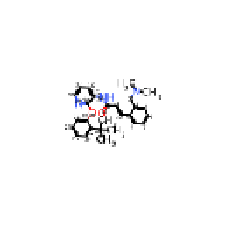 CN(C)Cc1ccccc1C=CC(=O)Nc1cccnc1Oc1ccccc1C(C)(C)C